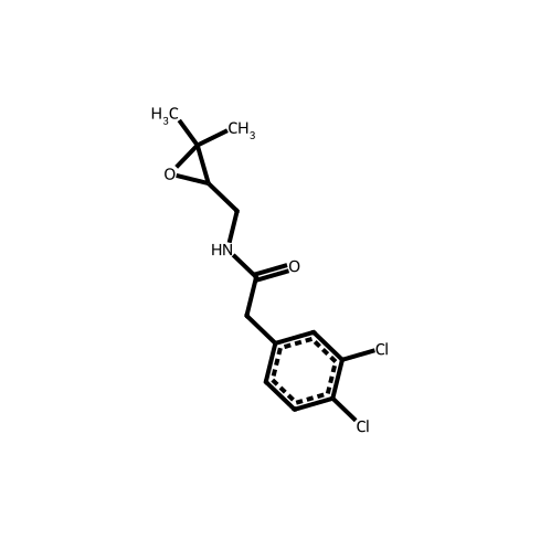 CC1(C)OC1CNC(=O)Cc1ccc(Cl)c(Cl)c1